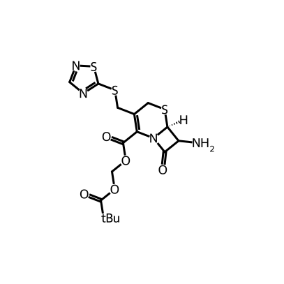 CC(C)(C)C(=O)OCOC(=O)C1=C(CSc2ncns2)CS[C@H]2C(N)C(=O)N12